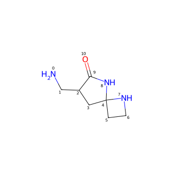 NCC1CC2(CCN2)NC1=O